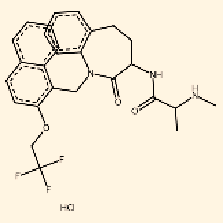 CNC(C)C(=O)NC1CCc2ccccc2N(Cc2c(OCC(F)(F)F)ccc3ccccc23)C1=O.Cl